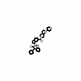 O=C(NC1CCc2ccc(C(=O)N3CCC4(CC3)CCN(c3ccncc3)C4)cc21)C(c1ccccc1)c1ccccc1Cl